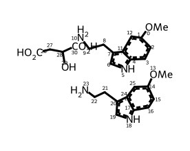 COc1ccc2[nH]cc(CCN)c2c1.COc1ccc2[nH]cc(CCN)c2c1.O=C(O)CC(O)C(=O)O